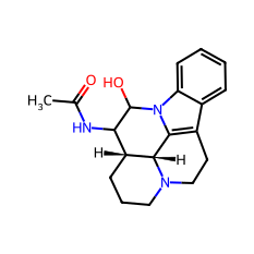 CC(=O)NC1C(O)n2c3c(c4ccccc42)CCN2CCC[C@H]1[C@H]32